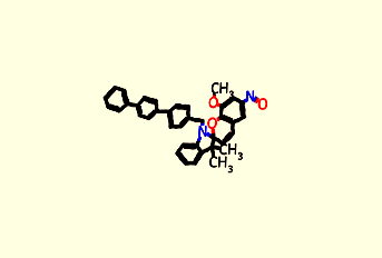 COc1cc(N=O)cc2c1OC1(C=C2)N(Cc2ccc(-c3ccc(-c4ccccc4)cc3)cc2)c2ccccc2C1(C)C